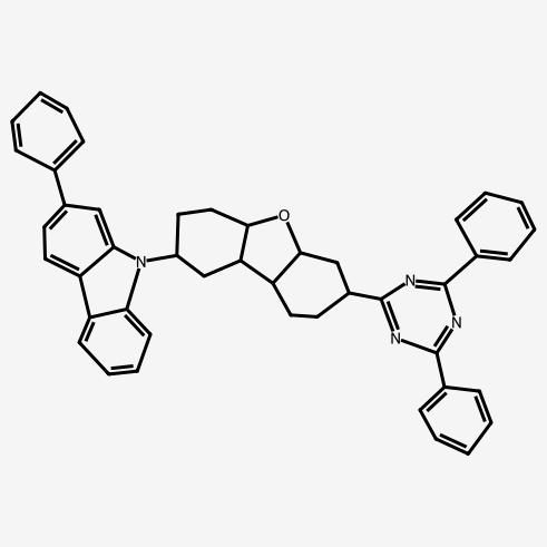 c1ccc(-c2ccc3c4ccccc4n(C4CCC5OC6CC(c7nc(-c8ccccc8)nc(-c8ccccc8)n7)CCC6C5C4)c3c2)cc1